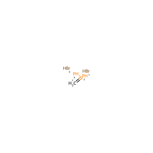 Br.Br.C=P.P